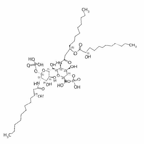 CCCCCCCCCC[C@H](O)C(=O)O[C@H](CCCCCCCCC)CC(=O)N[C@H]1[C@@H](O)[C@H](OP(=O)(O)O)[C@@H](CO)O[C@H]1C(O)[C@H]1O[C@@H](OP(=O)(O)O)[C@@H](NC(=O)C[C@H](O)CCCCCCCCC)[C@@H](O)[C@@H]1O